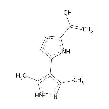 C=C(O)c1ccc(-c2c(C)n[nH]c2C)[nH]1